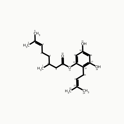 CC(C)=CCCC(C)CC(=O)Oc1cc(O)cc(O)c1CC=C(C)C